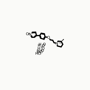 C[C@H]1CCCN(CCCOc2ccc(-c3cc[n+]([O-])cc3)cc2)C1.Cl.Cl.O.O.O.O